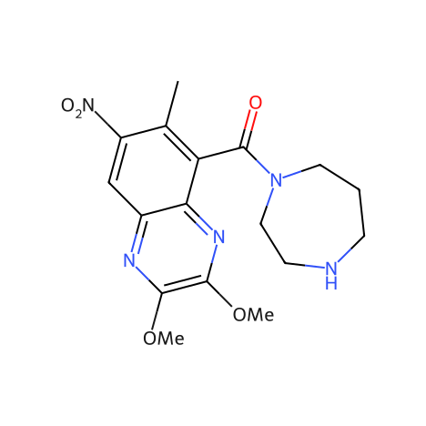 COc1nc2cc([N+](=O)[O-])c(C)c(C(=O)N3CCCNCC3)c2nc1OC